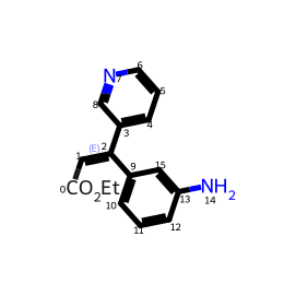 CCOC(=O)/C=C(/c1cccnc1)c1cccc(N)c1